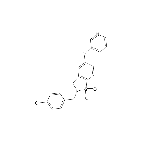 O=S1(=O)c2ccc(Oc3cccnc3)cc2CN1Cc1ccc(Cl)cc1